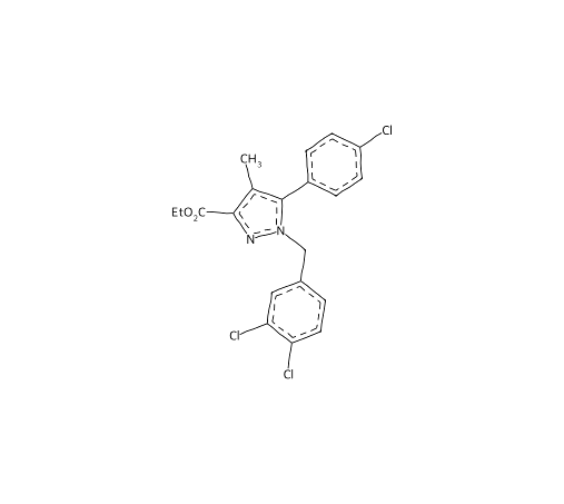 CCOC(=O)c1nn(Cc2ccc(Cl)c(Cl)c2)c(-c2ccc(Cl)cc2)c1C